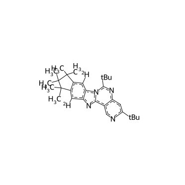 [2H]c1c2c(c([2H])c3c1nc1c4cnc(C(C)(C)C)cc4nc(C(C)(C)C)n13)C(C)(C)C(C)(C)C2(C)C